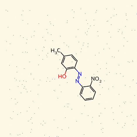 Cc1ccc(N=Nc2ccccc2[N+](=O)[O-])c(O)c1